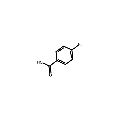 O=C(O)c1cc[c]([Na])cc1